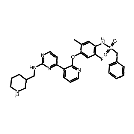 Cc1cc(NS(=O)(=O)Cc2ccccc2)c(F)cc1Oc1ncccc1-c1ccnc(NCC2CCCNC2)n1